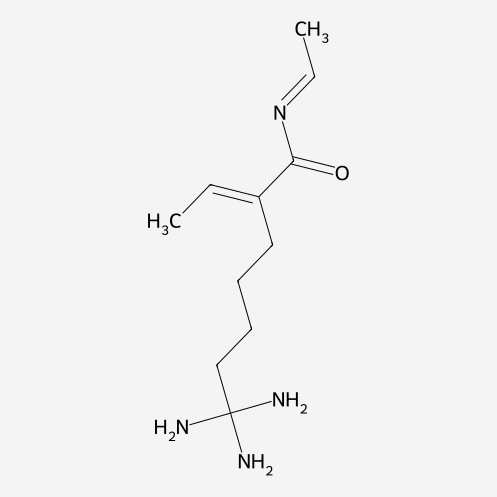 CC=NC(=O)C(=CC)CCCCC(N)(N)N